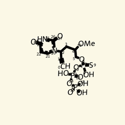 C#CC(CC(COP(O)(=S)OP(=O)(O)OP(=O)(O)O)OC)n1ccc(=O)[nH]c1=O